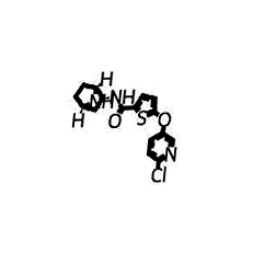 O=C(N[C@@H]1C[C@H]2CC[C@@H]1N2)c1ccc(Oc2ccc(Cl)nc2)s1